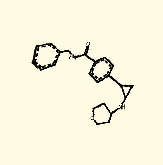 O=C(NCc1ccccc1)c1ccc(C2CC2NC2CCOCC2)cc1